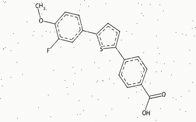 COc1ccc(-c2ccc(-c3ccc(C(=O)O)cc3)s2)cc1F